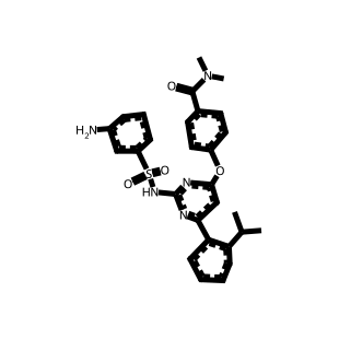 CC(C)c1ccccc1-c1cc(Oc2ccc(C(=O)N(C)C)cc2)nc(NS(=O)(=O)c2cccc(N)c2)n1